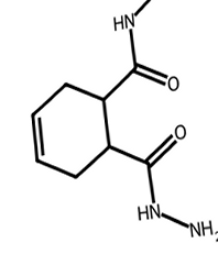 NNC(=O)C1CC=CCC1C(=O)NN